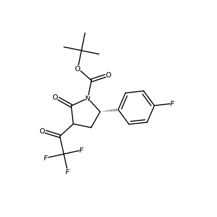 CC(C)(C)OC(=O)N1C(=O)C(C(=O)C(F)(F)F)C[C@H]1c1ccc(F)cc1